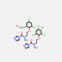 CCCN(CCOc1c(Cl)cc(Cl)cc1Cl)C(=O)n1ccnc1.CCCN(CCOc1c(Cl)cc(Cl)cc1Cl)C(=O)n1ccnc1.[Br-].[Br-].[Cu+2]